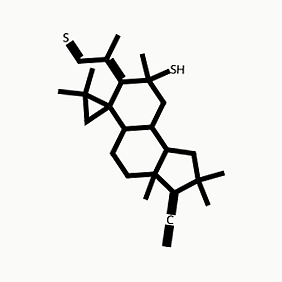 C=C=C1C(C)(C)CC2C3CC(C)(S)/C(=C(\C)C=S)C4(CC4(C)C)C3CCC12C